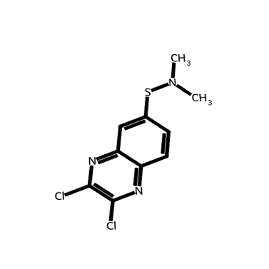 CN(C)Sc1ccc2nc(Cl)c(Cl)nc2c1